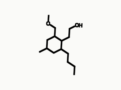 CCCCC1CC(C)CC(COC)C1CCO